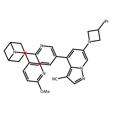 COc1ccc(CN2C3CC2CN(c2ccc(-c4cc(N5CC(C(C)C)C5)cn5ncc(C#N)c45)cn2)C3)cn1